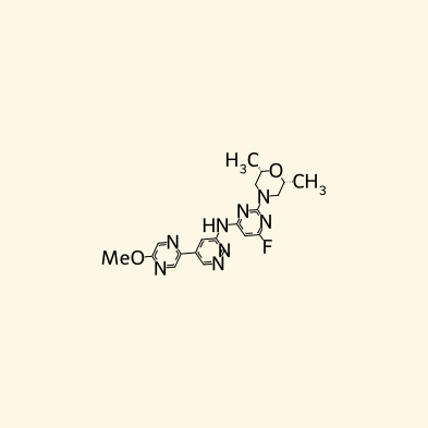 COc1cnc(-c2cnnc(Nc3cc(F)nc(N4C[C@@H](C)O[C@@H](C)C4)n3)c2)cn1